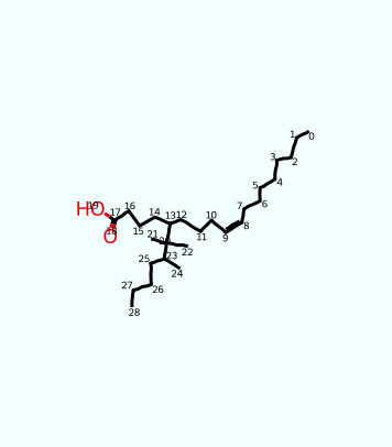 CCCCCCCC/C=C\CCCC(CCCC(=O)O)C(C)(C)C(C)CCCC